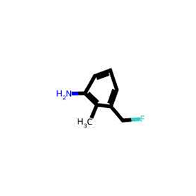 Cc1c(N)cccc1CF